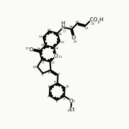 CCOc1cccc(C=C2CCc3c2oc2cc(NC(=O)/C=C/C(=O)O)ccc2c3=O)c1